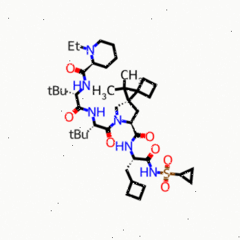 CCN1CCCC[C@H]1C(=O)N[C@H](C(=O)N[C@H](C(=O)N1C[C@]2(C[C@H]1C(=O)N[C@@H](CC1CCC1)C(=O)NS(=O)(=O)C1CC1)C(C)(C)C21CCC1)C(C)(C)C)C(C)(C)C